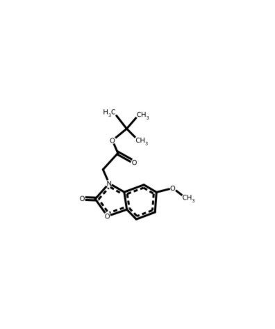 COc1ccc2oc(=O)n(CC(=O)OC(C)(C)C)c2c1